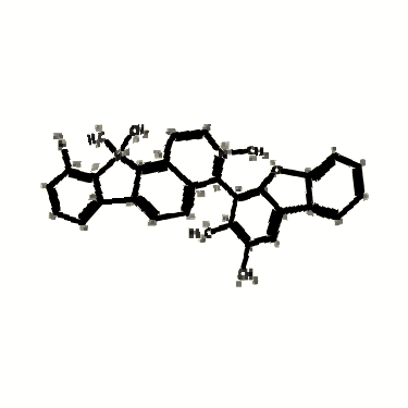 Cc1cc2c(oc3ccccc32)c(-c2c3ccc4c(c3cc[n+]2C)[Si](C)(C)c2c(F)cccc2-4)c1C